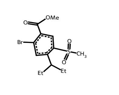 CCC(CC)c1cc(Br)c(C(=O)OC)cc1S(C)(=O)=O